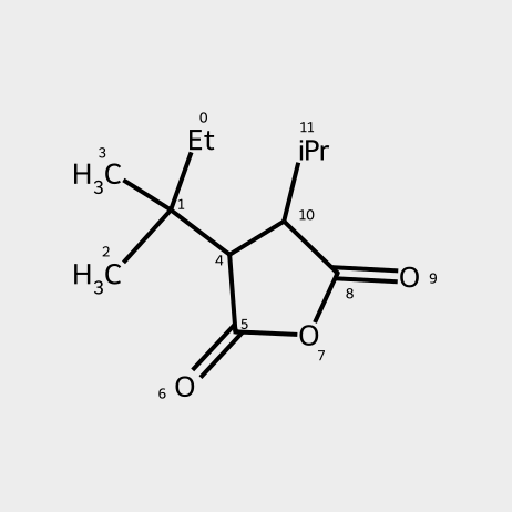 CCC(C)(C)C1C(=O)OC(=O)C1C(C)C